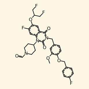 COc1cc(Cn2c(=O)c3cc(OC(CF)CF)c(F)cc3n(C3CCN(C=O)CC3)c2=O)ccc1OCc1ccc(F)cc1